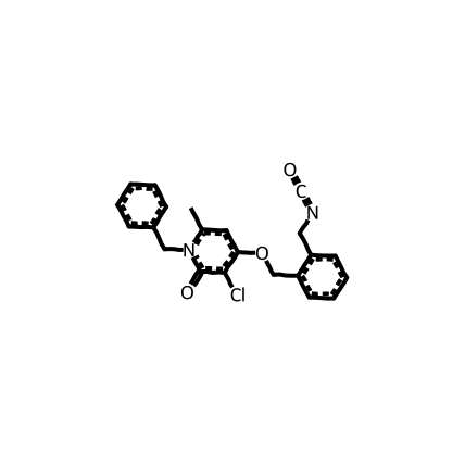 Cc1cc(OCc2ccccc2CN=C=O)c(Cl)c(=O)n1Cc1ccccc1